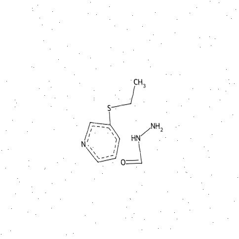 CCSc1cccnc1.NNC=O